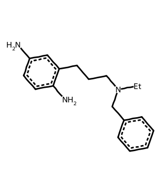 CCN(CCCc1cc(N)ccc1N)Cc1ccccc1